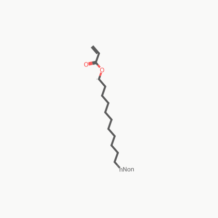 [CH2]CCCCCCCCCCCCCCCCCC[CH]OC(=O)C=C